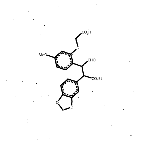 CCOC(=O)C(c1ccc2c(c1)OCO2)C(C=O)c1ccc(OC)cc1OCC(=O)O